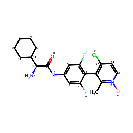 Cc1c(-c2c(F)cc(NC(=O)[C@@H](N)C3CCCCC3)cc2F)c(Cl)cc[n+]1[O-]